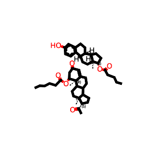 CCCCC(=O)O[C@H]1CC[C@H]2[C@@H]3CCc4cc(O)ccc4[C@H]3CC[C@]12C.CCCCCC(=O)OC1CC(=O)C=C2CCC3C(CC[C@@]4(C)C3CC[C@@H]4C(C)=O)[C@]21C